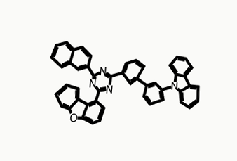 c1cc(-c2cccc(-n3c4ccccc4c4ccccc43)c2)cc(-c2nc(-c3ccc4ccccc4c3)nc(-c3cccc4oc5ccccc5c34)n2)c1